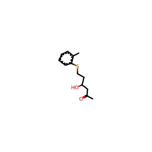 CC(=O)CC(O)CCSc1ccccc1C